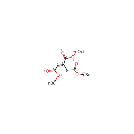 CCCCCCCCOC(=O)C(=CC(=O)OCCCC)CC(=O)OCCCC